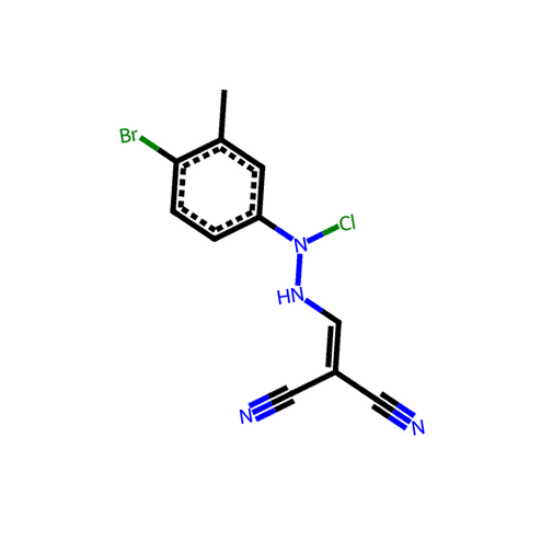 Cc1cc(N(Cl)NC=C(C#N)C#N)ccc1Br